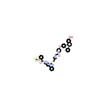 O=C(NCc1cc2c3ccccc3nc(SCC3CN(CC(=O)N4CCC(Oc5ccc([C@@H]6c7ccc(O)cc7CC[C@@H]6c6ccccc6)cc5)CC4)C3)n2n1)c1ccccc1OC(F)(F)F